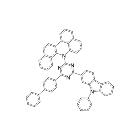 c1ccc(-c2ccc(-c3nc(-c4ccc5c6ccccc6n(-c6ccccc6)c5c4)nc(N4c5c(ccc6ccccc56)-c5cccc6cccc4c56)n3)cc2)cc1